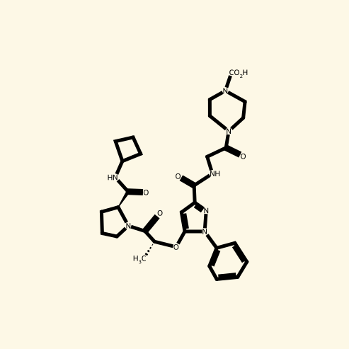 C[C@@H](Oc1cc(C(=O)NCC(=O)N2CCN(C(=O)O)CC2)nn1-c1ccccc1)C(=O)N1CCC[C@H]1C(=O)NC1CCC1